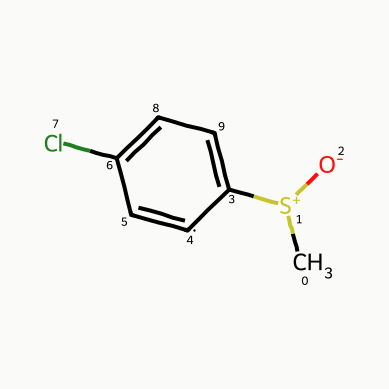 C[S+]([O-])c1[c]cc(Cl)cc1